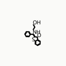 O=C1C(=C(NCCCO)c2ccccc2)Sc2ccccc21